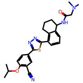 CC(C)Oc1ccc(-c2nnc(-c3cccc4c3CCCC4NC(=O)CN(C)C)s2)cc1C#N